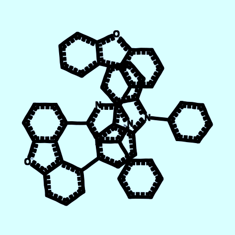 c1ccc(-c2nc(-c3cccc4oc5ccccc5c34)nc(-c3cccc4oc5cccc(-c6ccc7c(c6)c6ccccc6n7-c6ccccc6)c5c34)n2)cc1